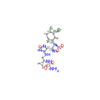 NS(=O)(=O)NC1(CNc2nonc2-c2noc(=O)n2-c2ccc(F)c(Br)c2)CC1